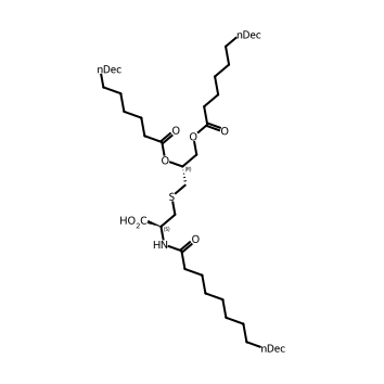 CCCCCCCCCCCCCCCCCC(=O)N[C@H](CSC[C@@H](COC(=O)CCCCCCCCCCCCCCC)OC(=O)CCCCCCCCCCCCCCC)C(=O)O